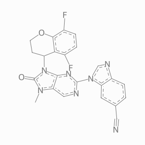 Cn1c(=O)n(C2CCOc3c(F)ccc(F)c32)c2nc(-n3cnc4ccc(C#N)cc43)ncc21